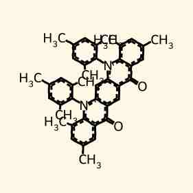 Cc1cc(C)c(-n2c3cc4c(cc3c(=O)c3cc(C)cc(C)c32)c(=O)c2cc(C)cc(C)c2n4-c2c(C)cc(C)cc2C)c(C)c1